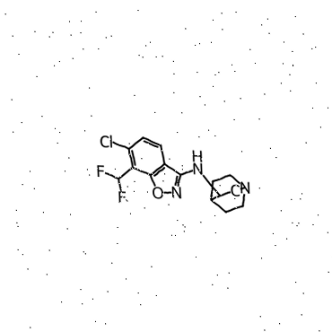 FC(F)c1c(Cl)ccc2c(NC3CN4CCC3CC4)noc12